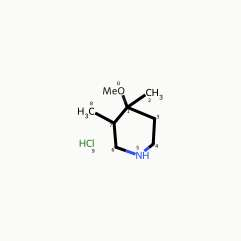 COC1(C)CCNCC1C.Cl